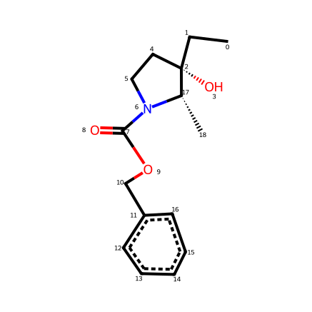 CC[C@]1(O)CCN(C(=O)OCc2ccccc2)[C@H]1C